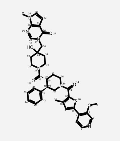 COc1cnccc1-c1cc(C)c(C(=O)N2CC[C@@H](C(=O)N3CCC(O)(Cn4cnc5c(ccn5C)c4=O)CC3)[C@H](c3ccccc3)C2)s1